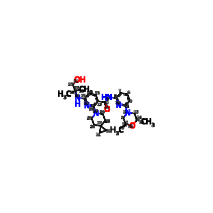 C[C@H]1CN(c2cccc(NC(=O)c3ccc(NC(C)(C)CO)nc3N3CCC4(CC3)CC4)n2)C[C@H](C)O1